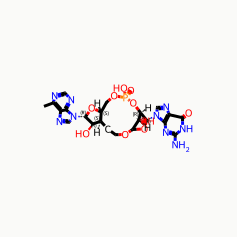 Cc1ncnc2c1ncn2[C@@H]1O[C@@H]2COP(=O)(O)O[C@@H]3[C@H](O)C(OCC[C@H]2[C@H]1O)O[C@H]3n1cnc2c(=O)[nH]c(N)nc21